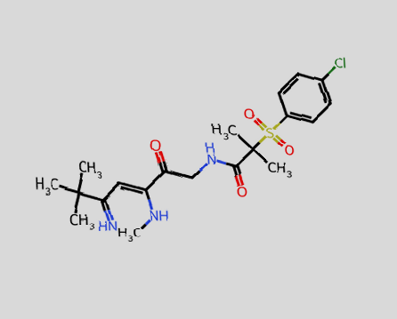 CN/C(=C\C(=N)C(C)(C)C)C(=O)CNC(=O)C(C)(C)S(=O)(=O)c1ccc(Cl)cc1